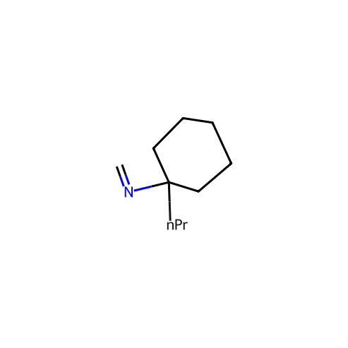 C=NC1(CCC)CCCCC1